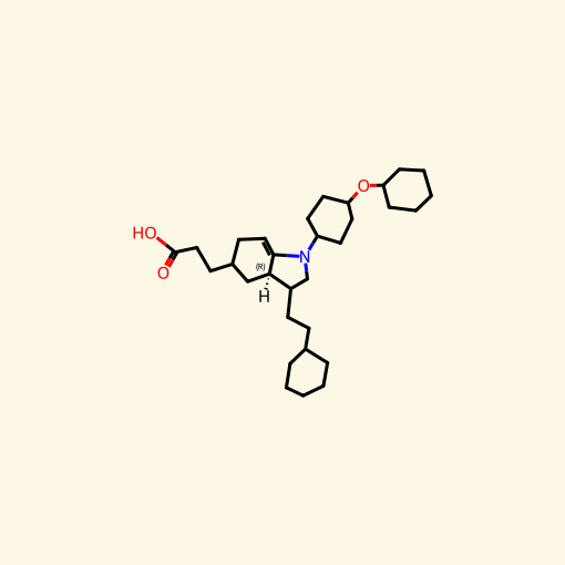 O=C(O)CCC1CC=C2[C@H](C1)C(CCC1CCCCC1)CN2C1CCC(OC2CCCCC2)CC1